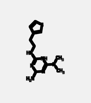 CN(C)C1=NC(N)N=C(NCCc2ccsc2)N1